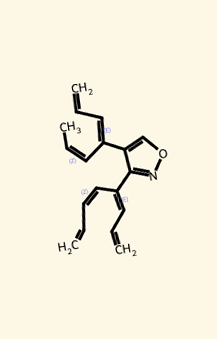 C=C/C=C\C(=C/C=C)c1nocc1C(/C=C\C)=C/C=C